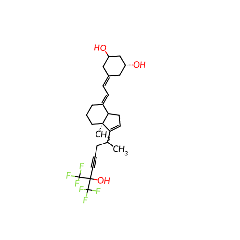 CC(CC#CC(O)(C(F)(F)F)C(F)(F)F)C1=CCC2/C(=C/C=C3/CC(O)C[C@H](O)C3)CCC[C@]12C